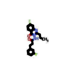 CCCc1nc2cc(F)ccc2c(=O)n1NC(=O)CCc1cccc(F)c1